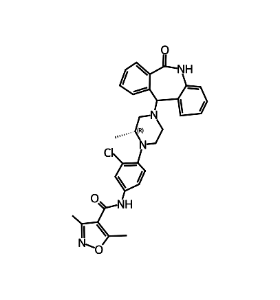 Cc1noc(C)c1C(=O)Nc1ccc(N2CCN(C3c4ccccc4NC(=O)c4ccccc43)C[C@H]2C)c(Cl)c1